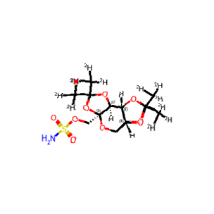 [2H]C([2H])([2H])C1(C([2H])([2H])[2H])O[C@@H]2[C@@H](CO[C@@]3(COS(N)(=O)=O)OC(C([2H])([2H])[2H])(C([2H])([2H])[2H])O[C@@H]23)O1